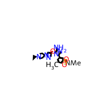 CNS(=O)(=O)c1cc(C)cc(-c2cnc(N)c(Oc3cnn(C4CCN(C5CC5)CC4)c3)n2)c1